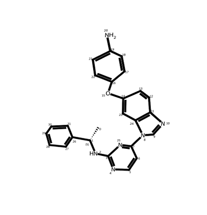 C[C@H](Nc1nccc(-n2cnc3ccc(Oc4ccc(N)cc4)cc32)n1)c1ccccc1